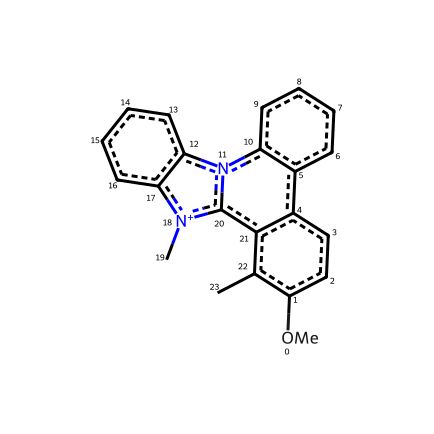 COc1ccc2c3ccccc3n3c4ccccc4[n+](C)c3c2c1C